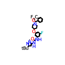 Cn1nc(C(C)(C)C)cc1NC(=O)Nc1cc(F)cc(OC2CCN(C(=O)c3ccccc3C(F)(F)F)CC2)c1